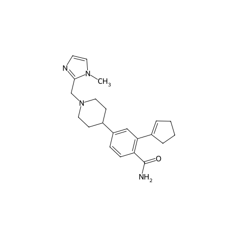 Cn1ccnc1CN1CCC(c2ccc(C(N)=O)c(C3=CCCC3)c2)CC1